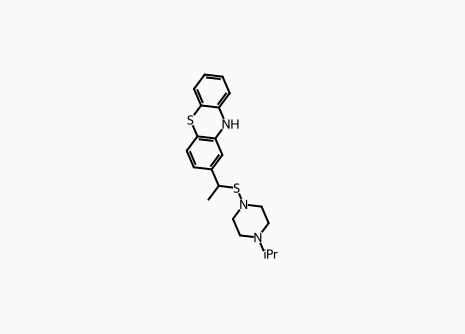 CC(SN1CCN(C(C)C)CC1)c1ccc2c(c1)Nc1ccccc1S2